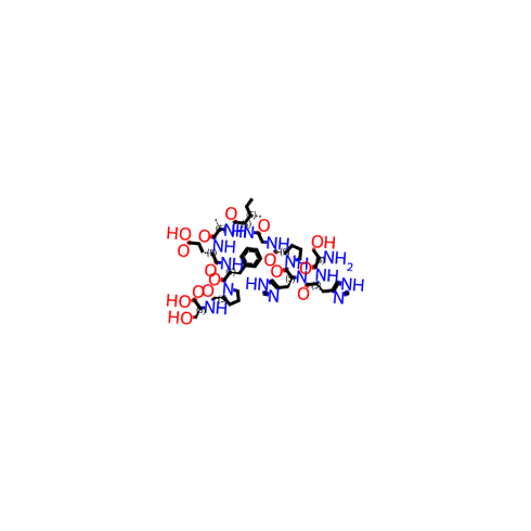 CC[C@H](C)[C@H](NC(=O)CNC(=O)[C@@H]1CCCN1C(=O)[C@H](Cc1c[nH]cn1)NC(=O)[C@H](Cc1c[nH]cn1)NC(=O)[C@@H](N)CO)C(=O)N[C@@H](C)C(=O)N[C@@H](CCC(=O)O)C(=O)N[C@@H](Cc1ccccc1)C(=O)N1CCC[C@H]1C(=O)N[C@@H](CO)C(=O)O